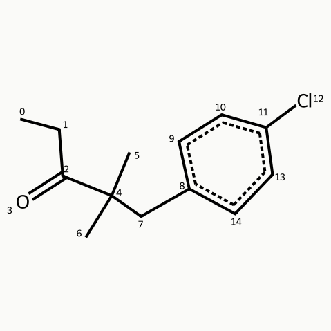 CCC(=O)C(C)(C)Cc1ccc(Cl)cc1